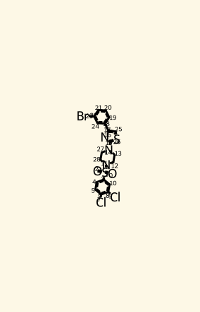 O=S(=O)(c1ccc(Cl)c(Cl)c1)N1CCN(c2nc(-c3cccc(Br)c3)cs2)CC1